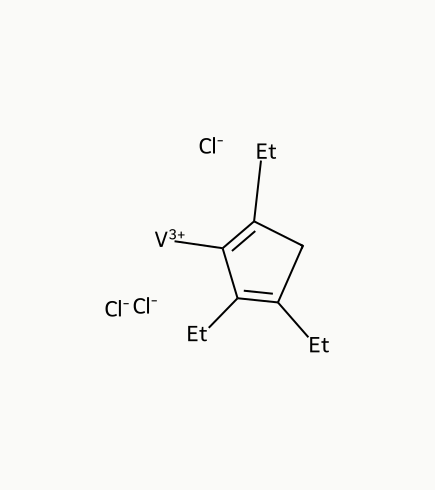 CCC1=[C]([V+3])C(CC)=C(CC)C1.[Cl-].[Cl-].[Cl-]